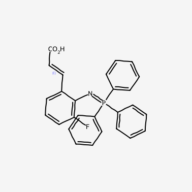 O=C(O)/C=C/c1cccc(F)c1N=P(c1ccccc1)(c1ccccc1)c1ccccc1